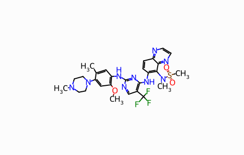 COc1cc(N2CCN(C)CC2)c(C)cc1Nc1ncc(C(F)(F)F)c(Nc2ccc3nccnc3c2N(C)S(C)(=O)=O)n1